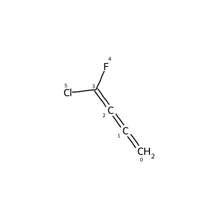 C=C=C=C(F)Cl